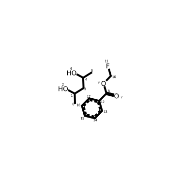 CC(O)CC(C)O.O=C(OCF)c1ccccc1